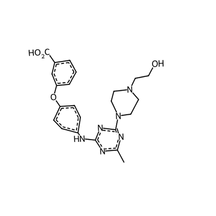 Cc1nc(Nc2ccc(Oc3cccc(C(=O)O)c3)cc2)nc(N2CCN(CCO)CC2)n1